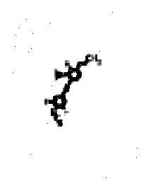 CCCc1ccc(C#Cc2cc(F)c(N=C=S)c(F)c2)c(C2CC2)c1F